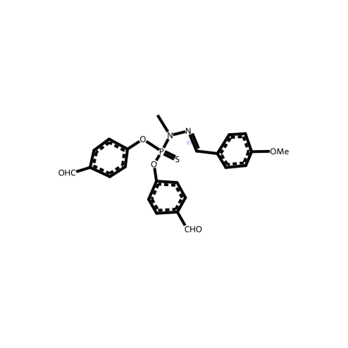 COc1ccc(/C=N/N(C)P(=S)(Oc2ccc(C=O)cc2)Oc2ccc(C=O)cc2)cc1